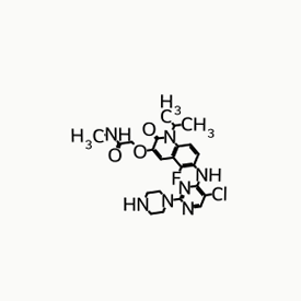 CNC(=O)COc1cc2c(F)c(Nc3nc(N4CCNCC4)ncc3Cl)ccc2n(C(C)C)c1=O